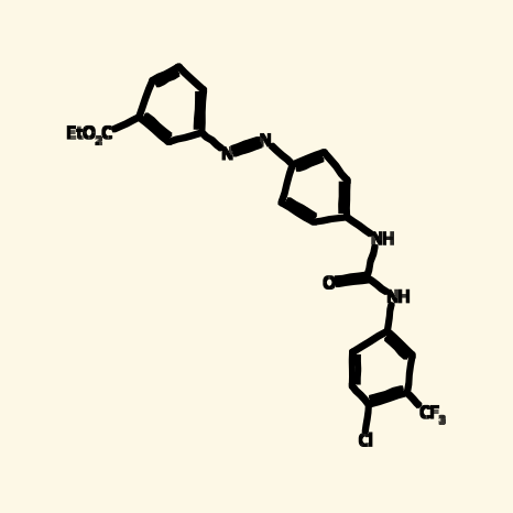 CCOC(=O)c1cccc(/N=N/c2ccc(NC(=O)Nc3ccc(Cl)c(C(F)(F)F)c3)cc2)c1